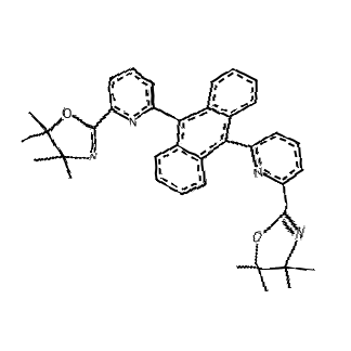 CC1(C)N=C(c2cccc(-c3c4ccccc4c(-c4cccc(C5=NC(C)(C)C(C)(C)O5)n4)c4ccccc34)n2)OC1(C)C